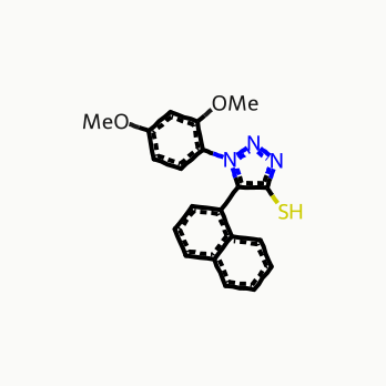 COc1ccc(-n2nnc(S)c2-c2cccc3ccccc23)c(OC)c1